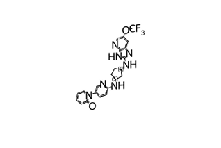 O=c1ccccn1-c1ccc(N[C@H]2CC[C@H](Nc3nc4cc(OC(F)(F)F)cnc4[nH]3)C2)nc1